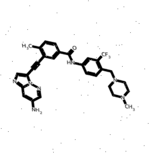 Cc1ccc(C(=O)Nc2ccc(CN3CCN(C)CC3)c(C(F)(F)F)c2)cc1C#Cc1cnc2cc(N)cnn12